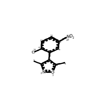 Cc1noc(C)c1-c1cc([N+](=O)[O-])ccc1Cl